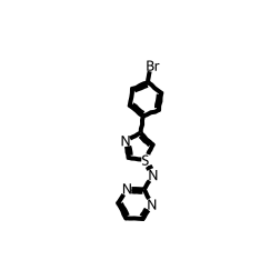 Brc1ccc(C2=CS(=Nc3ncccn3)C=N2)cc1